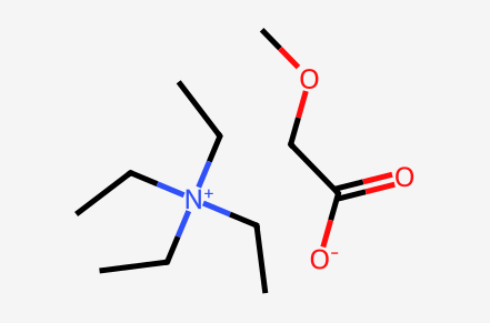 CC[N+](CC)(CC)CC.COCC(=O)[O-]